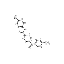 Cc1ccc(C(=O)N2CCN(C(=O)Cc3ccc(Br)cc3)CC2)cc1